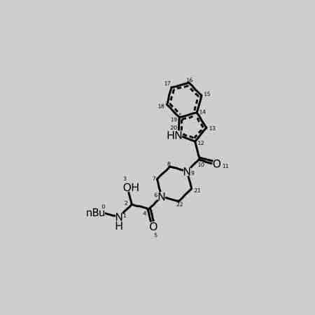 CCCCNC(O)C(=O)N1CCN(C(=O)c2cc3ccccc3[nH]2)CC1